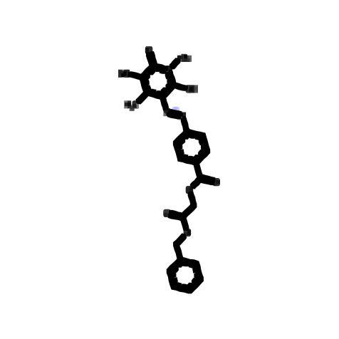 CCCCn1c(O)c(/N=N/c2ccc(C(=O)OCC(=O)OCc3ccccc3)cc2)c(C)c(C#N)c1=O